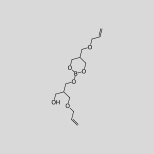 C=CCOCC(CO)COB1OCC(COCC=C)CO1